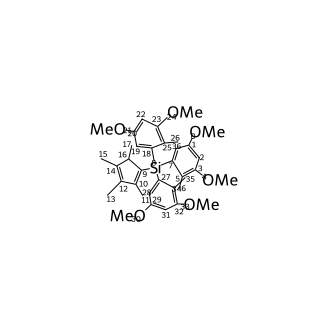 COc1cc(OC)c(C)c([Si](C2=C(C)C(C)=C(C)C2C)(c2cc(OC)cc(OC)c2C)c2cc(OC)cc(OC)c2C)c1